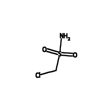 NS(=O)(=O)CCl